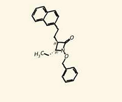 CC[C@@H]1[C@@H](CCc2ccc3ccccc3c2)C(=O)N1OCc1ccccc1